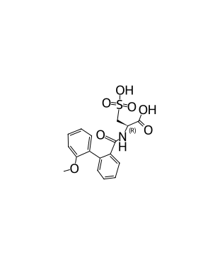 COc1ccccc1-c1ccccc1C(=O)N[C@@H](CS(=O)(=O)O)C(=O)O